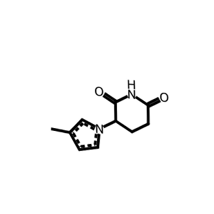 Cc1ccn(C2CCC(=O)NC2=O)c1